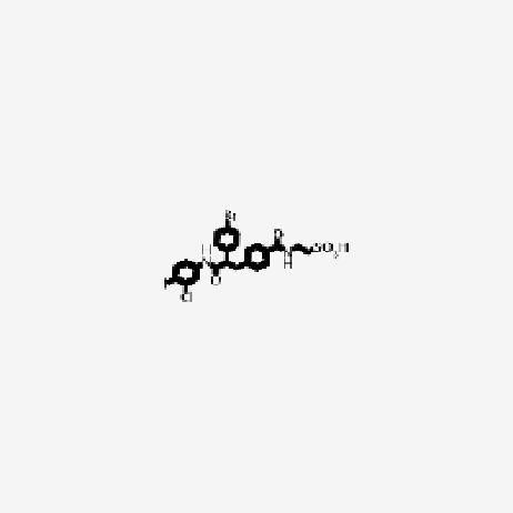 O=C(NCCS(=O)(=O)O)c1ccc(CC(C(=O)Nc2ccc(I)c(Cl)c2)c2ccc(Br)cc2)cc1